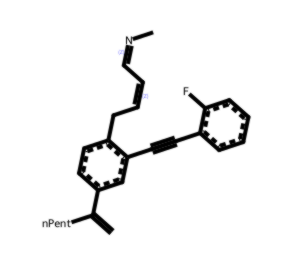 C=C(CCCCC)c1ccc(C/C=C\C=N/C)c(C#Cc2ccccc2F)c1